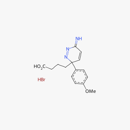 Br.COc1ccc(C2(CCCC(=O)O)C=CC(=N)N=N2)cc1